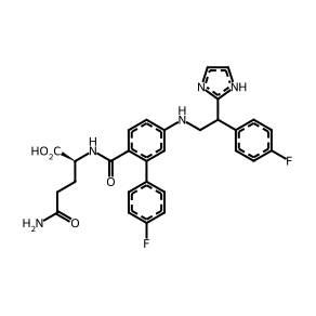 NC(=O)CC[C@H](NC(=O)c1ccc(NCC(c2ccc(F)cc2)c2ncc[nH]2)cc1-c1ccc(F)cc1)C(=O)O